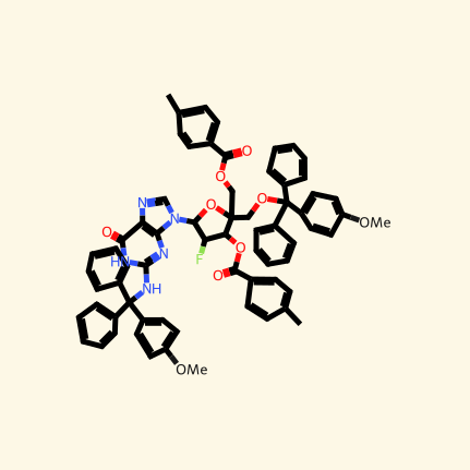 COc1ccc(C(Nc2nc3c(ncn3C3OC(COC(=O)c4ccc(C)cc4)(COC(c4ccccc4)(c4ccccc4)c4ccc(OC)cc4)C(OC(=O)c4ccc(C)cc4)C3F)c(=O)[nH]2)(c2ccccc2)c2ccccc2)cc1